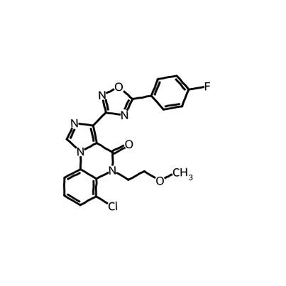 COCCn1c(=O)c2c(-c3noc(-c4ccc(F)cc4)n3)ncn2c2cccc(Cl)c21